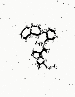 Nc1nc2c(C(=O)Nc3cnccc3N3CCN4CCOCC4C3)cnn2cc1F